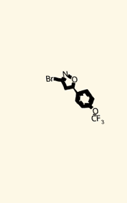 FC(F)(F)Oc1ccc([C@H]2CC(Br)=NO2)cc1